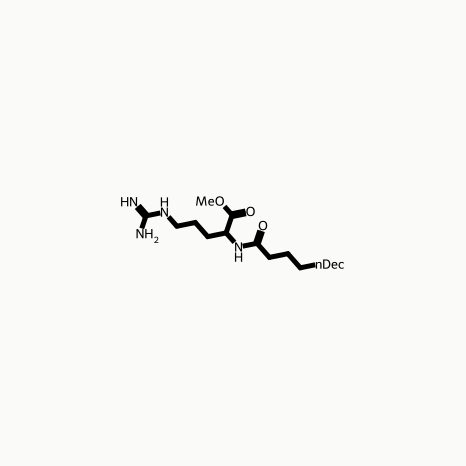 CCCCCCCCCCCCCC(=O)NC(CCCNC(=N)N)C(=O)OC